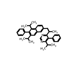 CC(C)c1cc2cc(CC(C)c3ncnc(C(C)C)c3-c3ccccc3)ccc2c(C(C)C)c1-c1ccccc1